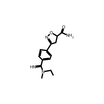 CCN(C)C(=N)c1ccc(C2=NOC(C(N)=O)C2)cc1